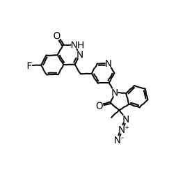 CC1(N=[N+]=[N-])C(=O)N(c2cncc(Cc3n[nH]c(=O)c4cc(F)ccc34)c2)c2ccccc21